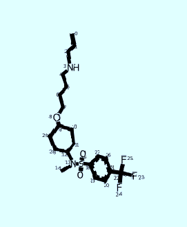 C=CCNCCCCOC1CCC(N(C)S(=O)(=O)c2ccc(C(F)(F)F)cc2)CC1